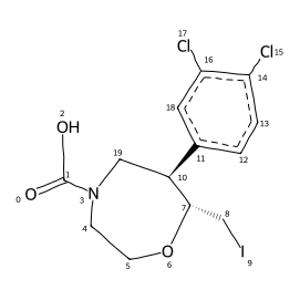 O=C(O)N1CCO[C@@H](CI)[C@H](c2ccc(Cl)c(Cl)c2)C1